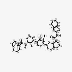 Cc1c(NC(=O)C23CC4CC(CC(C4)C2)C3)cccc1-c1ccc(N2CCc3cccc(C(=O)Nc4nc5ccccc5s4)c3C2)nc1C(=O)O